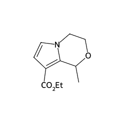 CCOC(=O)c1ccn2c1C(C)OCC2